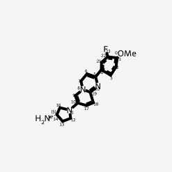 COc1ccc(C2=CCN3C=C(N4CC[C@H](N)C4)C=CC3=N2)cc1F